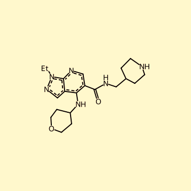 CCn1ncc2c(NC3CCOCC3)c(C(=O)NCC3CCNCC3)cnc21